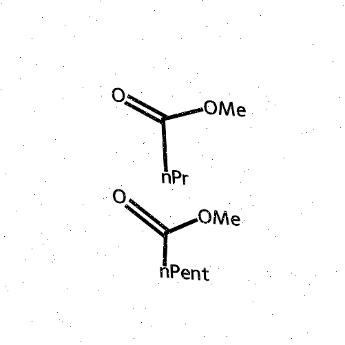 CCCC(=O)OC.CCCCCC(=O)OC